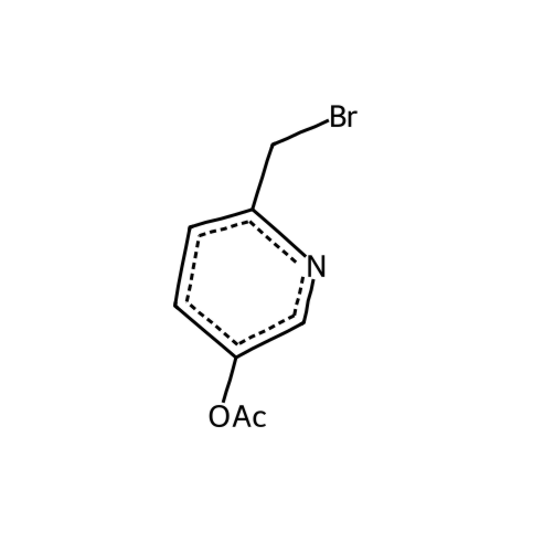 CC(=O)Oc1ccc(CBr)nc1